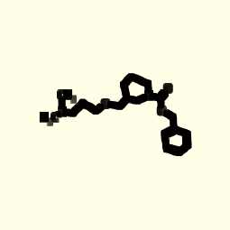 CN(C)CCCOCC1CCCN(C(=O)OCc2ccccc2)C1